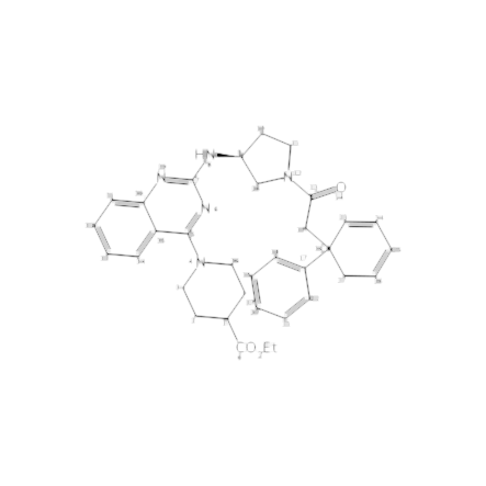 CCOC(=O)C1CCN(c2nc(N[C@H]3CCN(C(=O)CC4(c5ccccc5)C=CC=CC4)C3)nc3ccccc23)CC1